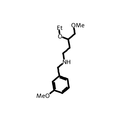 CCOC(CCNCc1cccc(OC)c1)COC